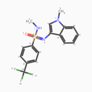 CNS(=O)(=Nc1cn(C)c2ccccc12)c1ccc(C(F)(F)F)cc1